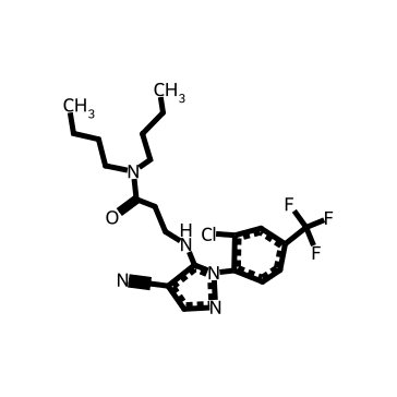 CCCCN(CCCC)C(=O)CCNc1c(C#N)cnn1-c1ccc(C(F)(F)F)cc1Cl